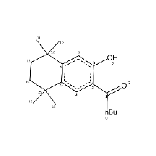 CCCCC(=O)c1cc2c(cc1O)C(C)(C)CCC2(C)C